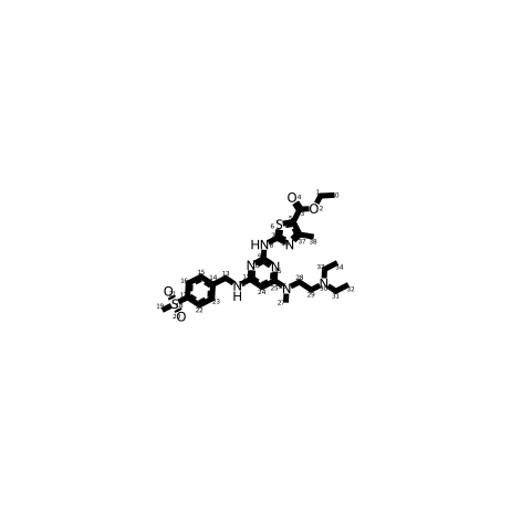 CCOC(=O)c1sc(Nc2nc(NCc3ccc(S(C)(=O)=O)cc3)cc(N(C)CCN(CC)CC)n2)nc1C